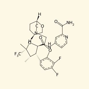 C[C@H]1[C@@H](c2ccc(F)c(F)c2OCCN2C[C@@H]3CC[C@H]2CO3)[C@H](C(=O)Nc2ccnc(C(N)=O)c2)O[C@@]1(C)C(F)(F)F